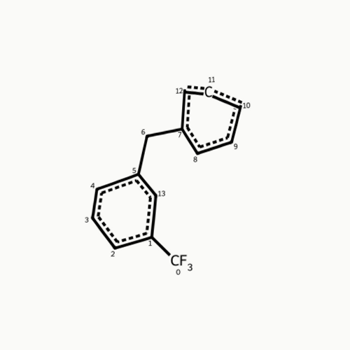 FC(F)(F)c1cccc(Cc2ccccc2)c1